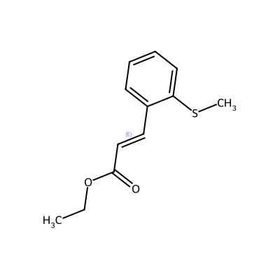 CCOC(=O)/C=C/c1ccccc1SC